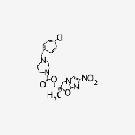 C[C@]1(COC(=O)N2CCN(Cc3ccc(Cl)cc3)CC2)Cn2cc([N+](=O)[O-])nc2O1